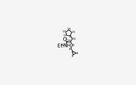 CCNC(=O)C(CCC1CC1)CC1CCCC1